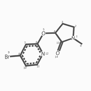 CN1CCC(Oc2cc(Br)ccn2)C1=O